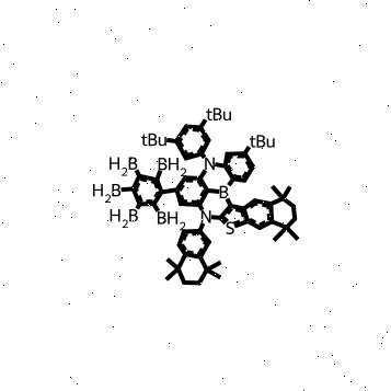 Bc1c(B)c(B)c(-c2cc3c4c(c2)N(c2ccc5c(c2)C(C)(C)CCC5(C)C)c2sc5cc6c(cc5c2B4c2ccc(C(C)(C)C)cc2N3c2cc(C(C)(C)C)cc(C(C)(C)C)c2)C(C)(C)CCC6(C)C)c(B)c1B